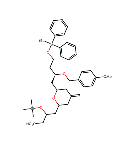 C=C1CC(CC(CC(=O)O)O[Si](C)(C)C)OC(C[C@@H](CCO[Si](c2ccccc2)(c2ccccc2)C(C)(C)C)OCc2ccc(OC)cc2)C1